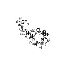 CC1(C)CC[C@H]2CNc3cccc(n3)S(=O)(=O)NC(=O)c3ccc(-n4ccc(OCCC5(C(F)(F)F)CC5)n4)nc3N21